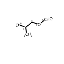 CC[C@H](C)COC=O